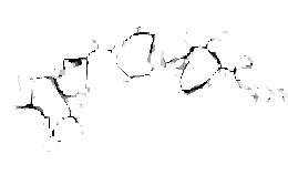 CCn1c(=O)[nH]c2cc(CN3CCN(c4ccc(C(=O)NC)c(F)c4)CC3)sc2c1=O